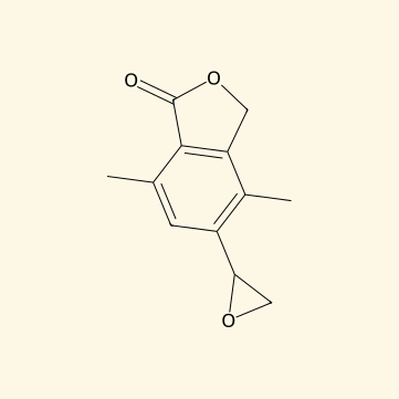 Cc1cc(C2CO2)c(C)c2c1C(=O)OC2